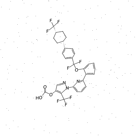 O=C(O)Oc1cnn(-c2cccc(-c3ccccc3OC(F)(F)c3ccc([C@H]4CC[C@@H](C(F)(F)F)CC4)cc3)n2)c1C(F)(F)F